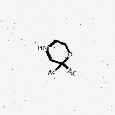 CC(=O)C1(C(C)=O)CNCCO1